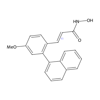 COc1ccc(/C=C/C(=O)NO)c(-c2cccc3ccccc23)c1